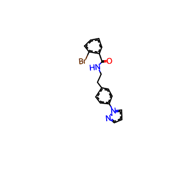 O=C(NCCc1ccc(-n2cccn2)cc1)c1ccccc1Br